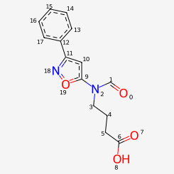 O=CN(CCCC(=O)O)c1cc(-c2ccccc2)no1